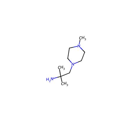 CN1CCN(CC(C)(C)N)CC1